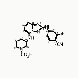 N#Cc1ccc(Nc2nc3cccc(NC4CCCN(C(=O)O)C4)n3n2)cc1F